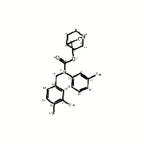 O=C(OC1CN2CCC1CC2)N(Cc1ccc(F)c(F)c1)c1cccc(F)c1